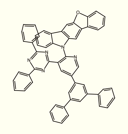 c1ccc(-c2cc(-c3ccccc3)cc(-c3cnc(-n4c5ccccc5c5cc6oc7ccccc7c6cc54)c(-c4nc(-c5ccccc5)nc(-c5ccccc5)n4)c3)c2)cc1